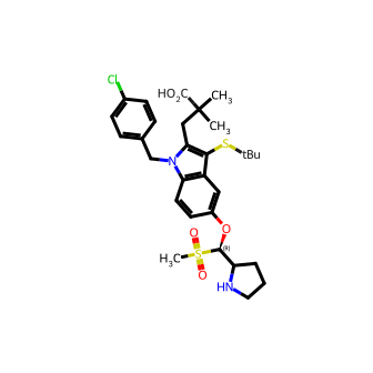 CC(C)(C)Sc1c(CC(C)(C)C(=O)O)n(Cc2ccc(Cl)cc2)c2ccc(O[C@@H](C3CCCN3)S(C)(=O)=O)cc12